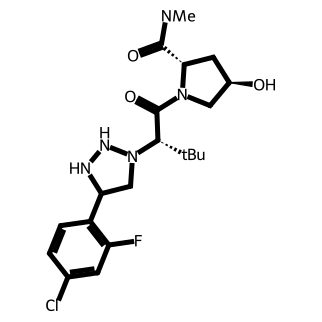 CNC(=O)[C@@H]1C[C@@H](O)CN1C(=O)[C@@H](N1CC(c2ccc(Cl)cc2F)NN1)C(C)(C)C